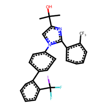 CC(C)(O)c1cn(-c2ccc(-c3ccccc3C(F)(F)I)cc2)c(-c2ccccc2C(F)(F)F)n1